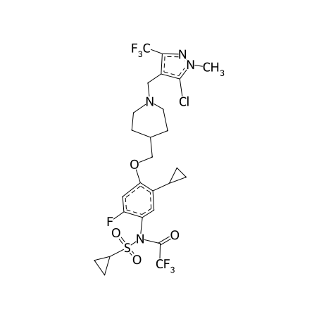 Cn1nc(C(F)(F)F)c(CN2CCC(COc3cc(F)c(N(C(=O)C(F)(F)F)S(=O)(=O)C4CC4)cc3C3CC3)CC2)c1Cl